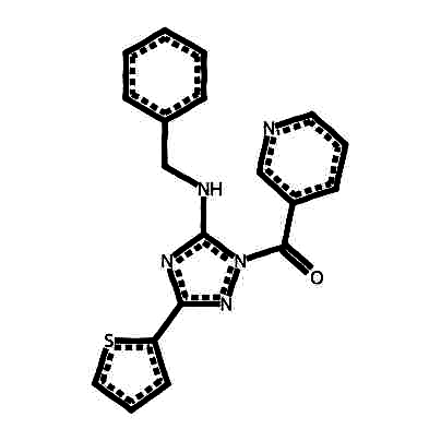 O=C(c1cccnc1)n1nc(-c2cccs2)nc1NCc1ccccc1